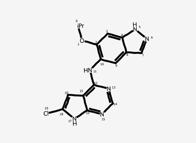 CC(C)Oc1cc2[nH]ncc2cc1Nc1ncnc2[nH]c(Cl)cc12